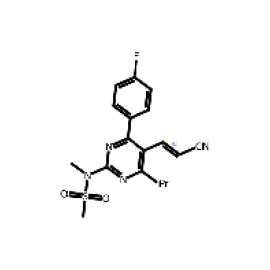 CC(C)c1nc(N(C)S(C)(=O)=O)nc(-c2ccc(F)cc2)c1/C=C/C#N